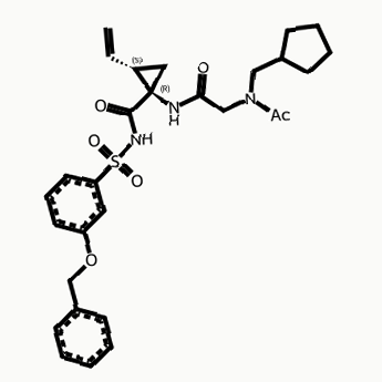 C=C[C@@H]1C[C@]1(NC(=O)CN(CC1CCCC1)C(C)=O)C(=O)NS(=O)(=O)c1cccc(OCc2ccccc2)c1